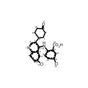 O=C1CCC(c2cnc3ccc(Cl)cc3c2Nc2ccc(Cl)cc2C(=O)O)CC1